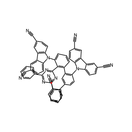 N#Cc1ccc2c(c1)c1cc(C#N)ccc1n2-c1ccc(-c2ccccc2C#N)cc1-c1cccc(-n2c3ccc(C#N)cc3c3cc(C#N)ccc32)c1-c1nc(-c2ccccc2)nc(-c2ccccc2)n1